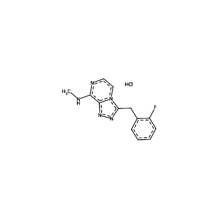 CNc1nccn2c(Cc3ccccc3F)nnc12.Cl